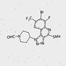 CSc1nc2c(F)c(Br)c(C(F)(F)F)cc2c2c1nnn2C1CCN(C=O)CC1